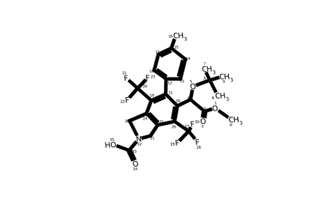 COC(=O)C(OC(C)(C)C)c1c(-c2ccc(C)cc2)c(C(F)(F)F)c2c(c1C(F)(F)F)CN(C(=O)O)C2